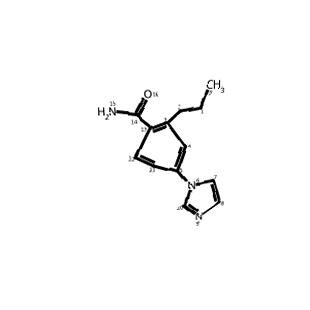 CCCc1cc(-n2ccnc2)ccc1C(N)=O